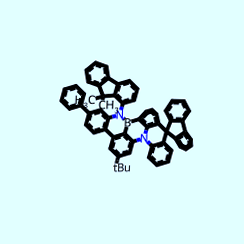 CC(C)(C)c1cc2c3c(c1)N1c4ccccc4C4(c5ccccc5-c5ccccc54)c4cccc(c41)B3N(c1cccc3c1C(C)(C)c1ccccc1-3)c1cc(-c3ccccc3)ccc1-2